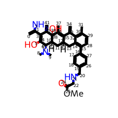 C=C(N)C1=C(O)[C@H](N(C)C)[C@@H]2C[C@@H]3Cc4c(-c5ccc(CNCC(=O)OC)cc5)ccc(C)c4C(=C)C3=C(C)[C@]2(O)C1=C